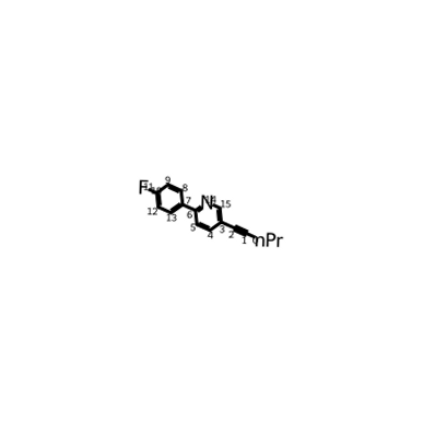 CCCC#Cc1ccc(-c2ccc(F)cc2)nc1